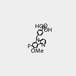 COc1cc2c3ncccc3n(Cc3ccc(P(=O)(O)O)cc3)c2cc1F